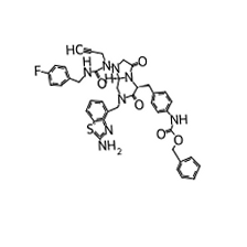 C#CCN(C(=O)NCc1ccc(F)cc1)N1CC(=O)N2[C@@H](Cc3ccc(NC(=O)OCc4ccccc4)cc3)C(=O)N(Cc3cccc4sc(N)nc34)C[C@@H]21